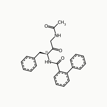 CC(=O)NCC(=O)[C@H](Cc1ccccc1)NC(=O)c1ccccc1-c1ccccc1